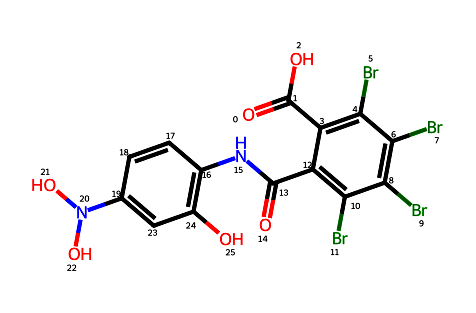 O=C(O)c1c(Br)c(Br)c(Br)c(Br)c1C(=O)Nc1ccc(N(O)O)cc1O